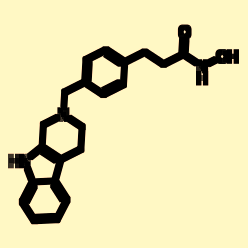 O=C(CCc1ccc(CN2CCc3c([nH]c4ccccc34)C2)cc1)NO